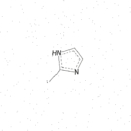 [CH]c1ncc[nH]1